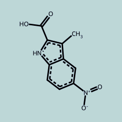 Cc1c(C(=O)O)[nH]c2ccc([N+](=O)[O-])cc12